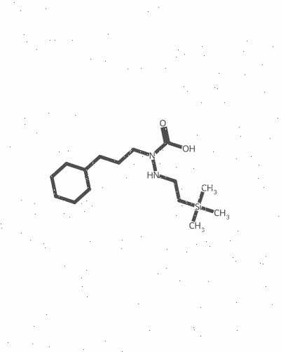 C[Si](C)(C)CCNN(CCCC1CCCCC1)C(=O)O